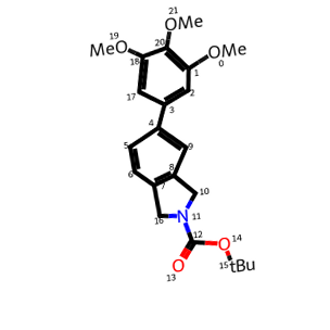 COc1cc(-c2ccc3c(c2)CN(C(=O)OC(C)(C)C)C3)cc(OC)c1OC